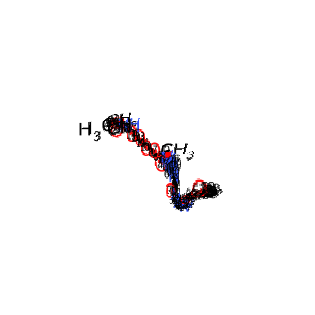 CCN(C(=O)CCOCCOCCOCCOCCNC(=O)OC(C)(C)C)N1CCN(CC=CC(=O)N2CCC(n3ccc4ncnc(Oc5ccc(Oc6ccccc6)cc5)c43)CC2)CC1